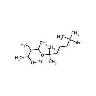 CCOC(C)C(C)C(C)OC(C)(C)CCCS(C)(C)C(C)C